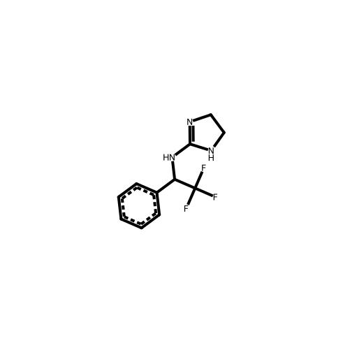 FC(F)(F)C(NC1=NCCN1)c1ccccc1